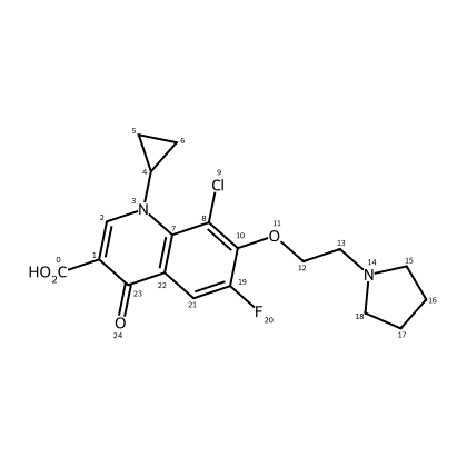 O=C(O)c1cn(C2CC2)c2c(Cl)c(OCCN3CCCC3)c(F)cc2c1=O